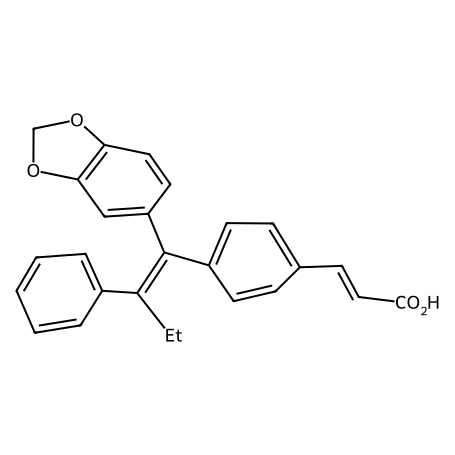 CCC(=C(c1ccc(C=CC(=O)O)cc1)c1ccc2c(c1)OCO2)c1ccccc1